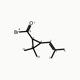 CC(C)=CC1C(C(=O)Br)C1(C)C